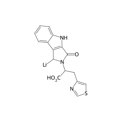 [Li][CH]1c2c([nH]c3ccccc23)C(=O)N1C(Cc1cscn1)C(=O)O